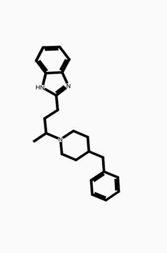 CC(CCc1nc2ccccc2[nH]1)N1CCC(Cc2ccccc2)CC1